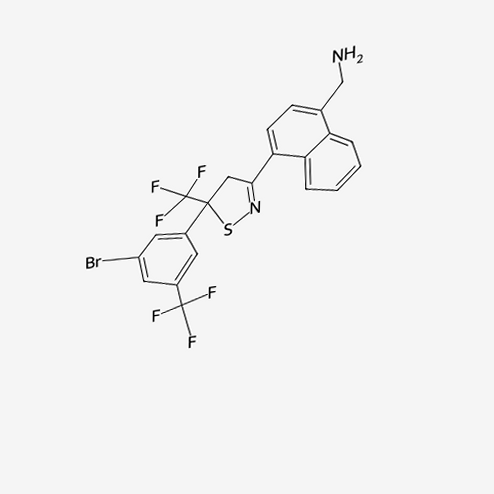 NCc1ccc(C2=NSC(c3cc(Br)cc(C(F)(F)F)c3)(C(F)(F)F)C2)c2ccccc12